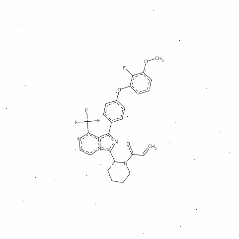 C=CC(=O)N1CCCCC1c1nc(-c2ccc(Oc3cccc(OC)c3F)cc2)c2c(C(F)(F)F)nccn12